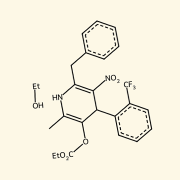 CCO.CCOC(=O)OC1=C(C)NC(Cc2ccccc2)=C([N+](=O)[O-])C1c1ccccc1C(F)(F)F